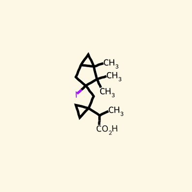 CC(C(=O)O)C1(CC2(I)CC3CC3(C)C2(C)C)CC1